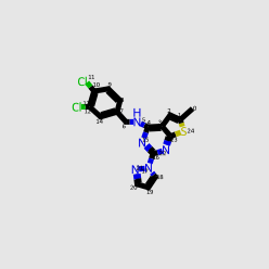 Cc1cc2c(NCc3ccc(Cl)c(Cl)c3)nc(-n3cccn3)nc2s1